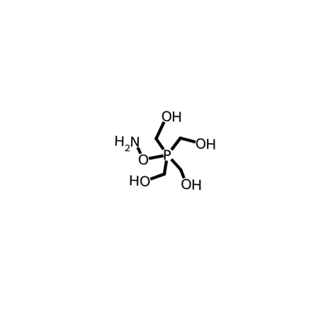 NOP(CO)(CO)(CO)CO